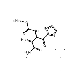 C=C(C(N)=O)[C@@H](NC(=O)OCCCCCC)C(=O)c1ncc[nH]1